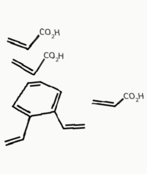 C=CC(=O)O.C=CC(=O)O.C=CC(=O)O.C=Cc1ccccc1C=C